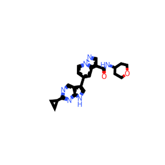 O=C(NC1CCOCC1)c1cnn2ccc(-c3c[nH]c4nc(C5CC5)ncc34)cc12